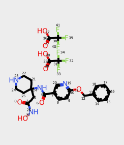 O=C(CC1(NC(=O)c2ccc(OCc3ccccc3)nc2)CCNCC1)NO.O=C(O)C(F)(F)F.O=C(O)C(F)(F)F